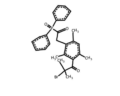 Cc1cc(C)c(C(=O)C(C)(C)Br)c(C)c1CC(=O)P(=O)(c1ccccc1)c1ccccc1